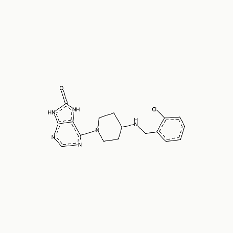 O=c1[nH]c2ncnc(N3CCC(NCc4ccccc4Cl)CC3)c2[nH]1